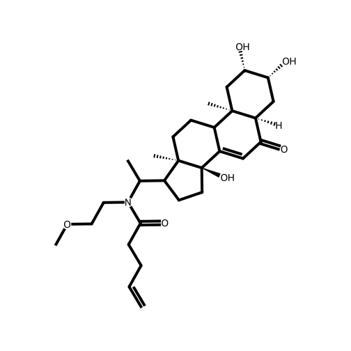 C=CCCC(=O)N(CCOC)C(C)C1CC[C@@]2(O)C3=CC(=O)[C@@H]4C[C@@H](O)[C@@H](O)C[C@]4(C)C3CC[C@]12C